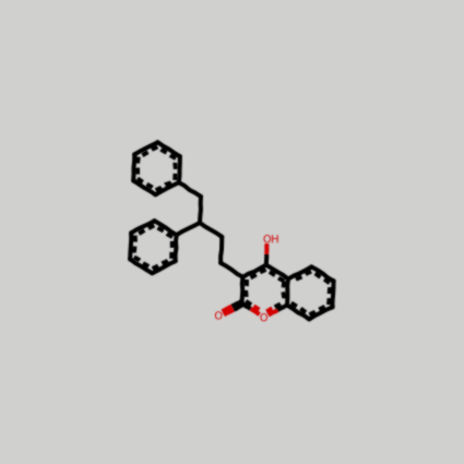 O=c1oc2ccccc2c(O)c1CCC(Cc1ccccc1)c1ccccc1